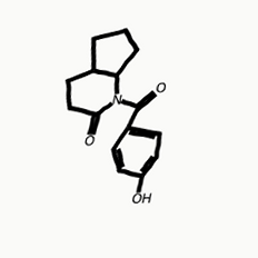 O=C1CCC2CCCC2N1C(=O)c1ccc(O)cc1